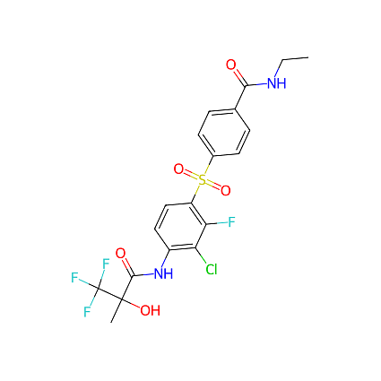 CCNC(=O)c1ccc(S(=O)(=O)c2ccc(NC(=O)C(C)(O)C(F)(F)F)c(Cl)c2F)cc1